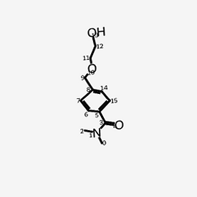 CN(C)C(=O)c1ccc(COCCO)cc1